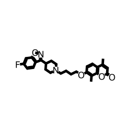 Cc1cc(=O)oc2c(C)c(OCCCCN3CCC(c4noc5cc(F)ccc45)CC3)ccc12